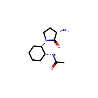 CC(=O)N[C@@H]1CCCC[C@@H]1N1CC[C@H](N)C1=O